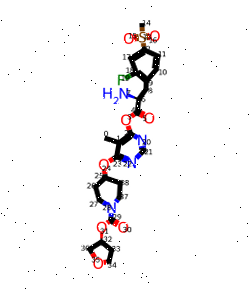 Cc1c(OC(=O)[C@@H](N)Cc2ccc(S(C)(=O)=O)cc2F)ncnc1OC1CCN(C(=O)O[C@H]2CCOC2)CC1